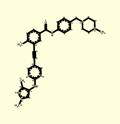 Cc1ccc(C(=O)Nc2ccc(CN3CCN(C)CC3)cc2)cc1C#Cc1cnc(Nc2cn(C)nc2C)nc1